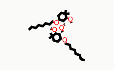 CCCCCCCCO[C@@H]1CCC(C)(C)[C@H](OC)[C@@H]1COC[C@H]1[C@@H](OC)C(C)(C)CC[C@H]1OCCCCCCCC